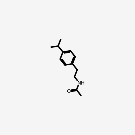 CC(=O)NCCc1ccc(C(C)C)cc1